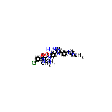 Cc1c(C(=O)Nc2ccc(-c3nc(-c4cccc(CN5CCN(C)CC5)c4)cnc3N)cc2)c(=O)n(-c2cccc(Cl)c2)n1C